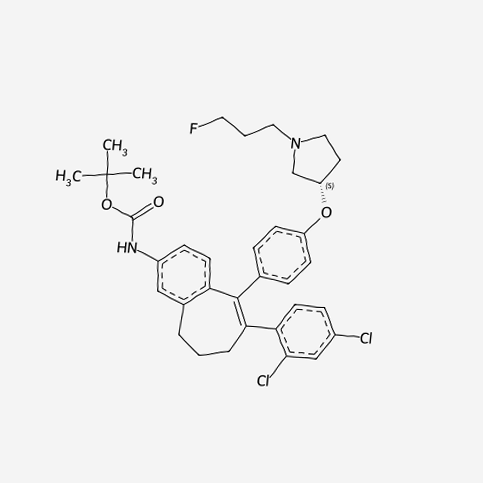 CC(C)(C)OC(=O)Nc1ccc2c(c1)CCCC(c1ccc(Cl)cc1Cl)=C2c1ccc(O[C@H]2CCN(CCCF)C2)cc1